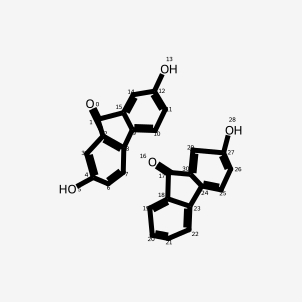 O=C1c2cc(O)ccc2-c2ccc(O)cc21.O=C1c2ccccc2-c2ccc(O)cc21